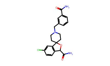 NC(=O)c1cccc(CN2CCC3(CC2)OC(C(N)=O)c2ccc(Cl)cc23)c1